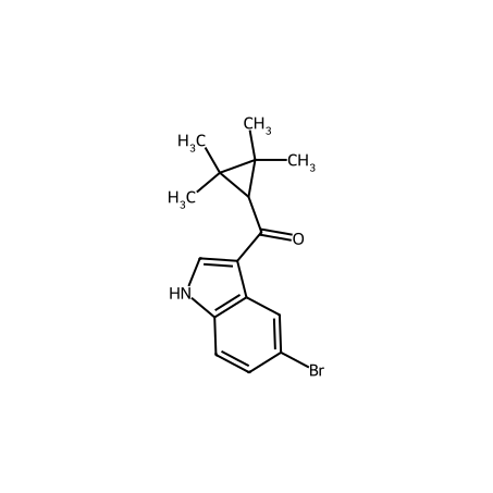 CC1(C)C(C(=O)c2c[nH]c3ccc(Br)cc23)C1(C)C